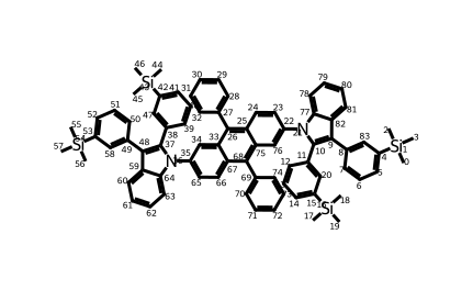 C[Si](C)(C)c1cccc(-c2c(-c3cccc([Si](C)(C)C)c3)n(-c3ccc4c(-c5ccccc5)c5cc(-n6c(-c7cccc([Si](C)(C)C)c7)c(-c7cccc([Si](C)(C)C)c7)c7ccccc76)ccc5c(-c5ccccc5)c4c3)c3ccccc23)c1